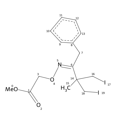 COC(=O)CON=C(Cc1ccccc1)C(C)(CI)CI